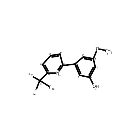 COc1cc(O)cc(-c2cccc(C(F)(F)F)n2)c1